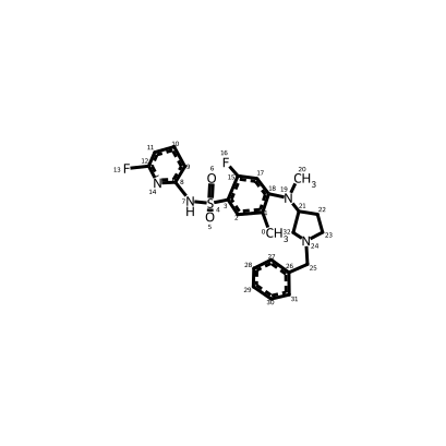 Cc1cc(S(=O)(=O)Nc2cccc(F)n2)c(F)cc1N(C)C1CCN(Cc2ccccc2)C1